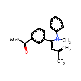 C=C(/C=C(/c1cccc(C(=O)NC)c1)N(C)c1ccccc1)C(F)(F)F